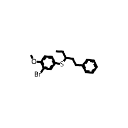 CCC(CCc1ccccc1)Sc1ccc(OC)c(Br)c1